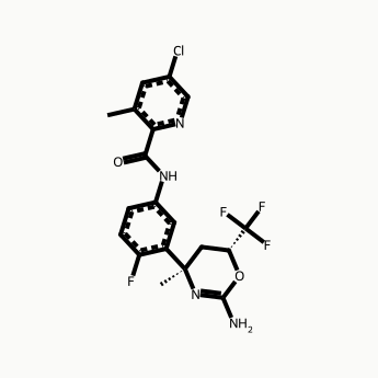 Cc1cc(Cl)cnc1C(=O)Nc1ccc(F)c([C@@]2(C)C[C@H](C(F)(F)F)OC(N)=N2)c1